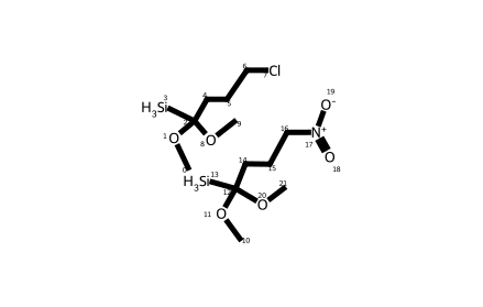 COC([SiH3])(CCCCl)OC.COC([SiH3])(CCC[N+](=O)[O-])OC